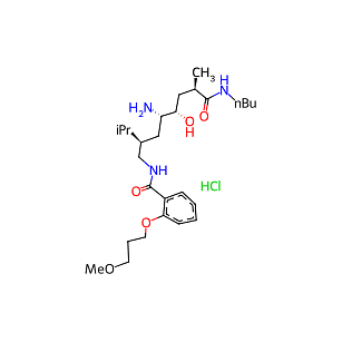 CCCCNC(=O)[C@H](C)C[C@H](O)[C@@H](N)C[C@@H](CNC(=O)c1ccccc1OCCCOC)C(C)C.Cl